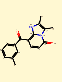 Cc1cccc(C(=O)c2ccc(=O)n3c(C)c(C)[nH]c23)c1